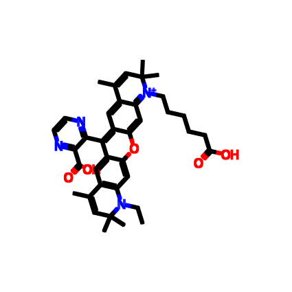 CCN1c2cc3c(cc2C(C)=CC1(C)C)C(c1nccnc1C(=O)O)=c1cc2c(cc1O3)=[N+](CCCCCC(=O)O)C(C)(C)C=C2C